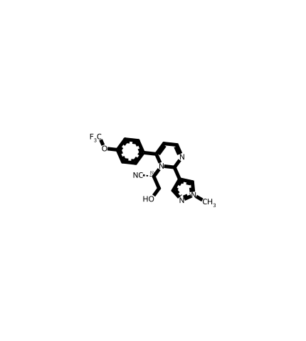 Cn1cc(C2N=CC=C(c3ccc(OC(F)(F)F)cc3)N2[C@@H](C#N)CO)cn1